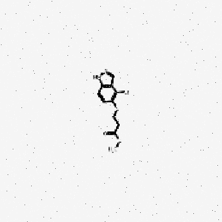 COC(=O)CCSc1ccc2[nH]ncc2c1Cl